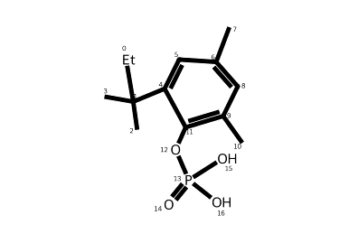 [CH2-][CH+]C(C)(C)c1cc(C)cc(C)c1OP(=O)(O)O